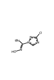 CC(C)(C)/C(=N\O)n1cnc(Cl)n1